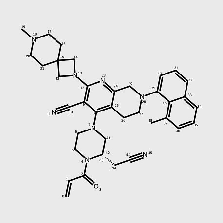 C=CC(=O)N1CCN(c2c(C#N)c(N3CC4(CCN(C)CC4)C3)nc3c2CCN(c2cccc4cccc(C)c24)C3)C[C@@H]1CC#N